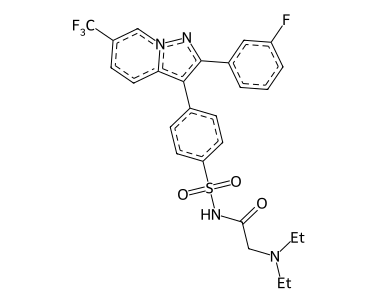 CCN(CC)CC(=O)NS(=O)(=O)c1ccc(-c2c(-c3cccc(F)c3)nn3cc(C(F)(F)F)ccc23)cc1